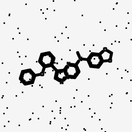 CN(c1ccc2c(c1)OCO2)c1ccn2ncc(-c3ccccc3Oc3ccccc3)c2n1